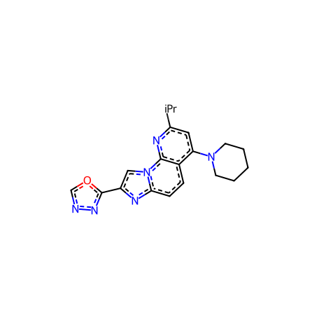 CC(C)c1cc(N2CCCCC2)c2ccc3nc(-c4nnco4)cn3c2n1